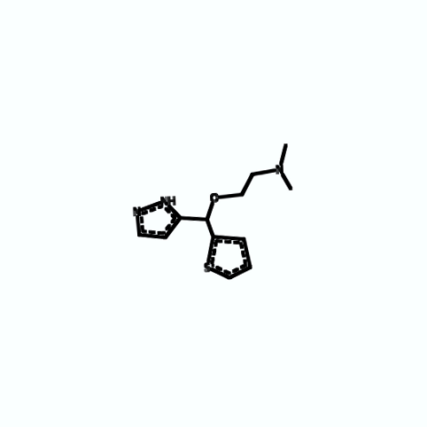 CN(C)CCOC(c1ccn[nH]1)c1cccs1